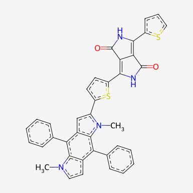 Cn1ccc2c(-c3ccccc3)c3c(cc(-c4ccc(C5=C6C(=O)NC(c7cccs7)=C6C(=O)N5)s4)n3C)c(-c3ccccc3)c21